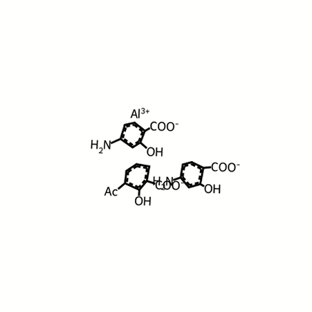 CC(=O)c1cccc(C(=O)[O-])c1O.Nc1ccc(C(=O)[O-])c(O)c1.Nc1ccc(C(=O)[O-])c(O)c1.[Al+3]